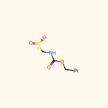 CC(C)COC(=O)NC[SH](=O)=O